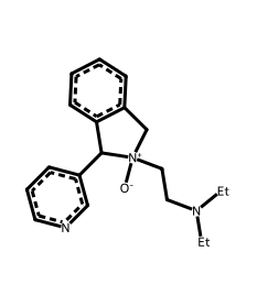 CCN(CC)CC[N+]1([O-])Cc2ccccc2C1c1cccnc1